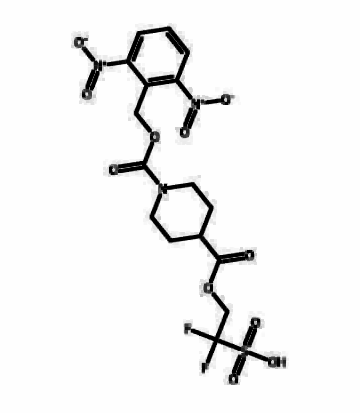 O=C(OCC(F)(F)S(=O)(=O)O)C1CCN(C(=O)OCc2c([N+](=O)[O-])cccc2[N+](=O)[O-])CC1